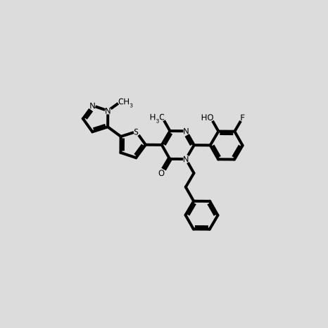 Cc1nc(-c2cccc(F)c2O)n(CCc2ccccc2)c(=O)c1-c1ccc(-c2ccnn2C)s1